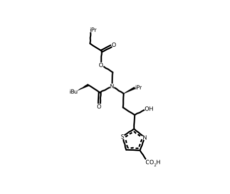 CC[C@H](C)CC(=O)N(COC(=O)CC(C)C)[C@H](CC(O)c1nc(C(=O)O)cs1)C(C)C